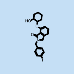 O=C1c2c(cccc2OC2CCCCC2O)CN1Cc1ccc(F)cc1